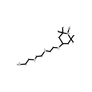 CC1(C)CC(OCCOCCOCCO)CC(C)(C)N1Br